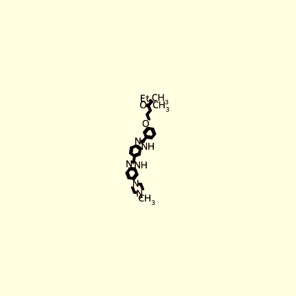 CCC(C)(C)C(=O)CCCOc1cccc(-c2nc3ccc(-c4nc5ccc(N6CCN(C)CC6)cc5[nH]4)cc3[nH]2)c1